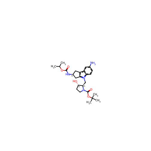 CC(C)OC(=O)N[C@H]1Cc2c(n(C[C@@H]3[C@@H](O)CCN3C(=O)OC(C)(C)C)c3ccc(N)cc23)C1